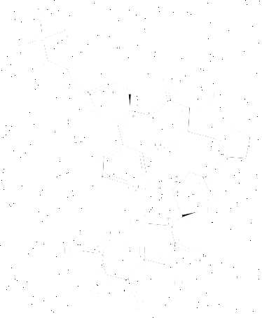 CC[C@H](C)[C@@H]([C@@H](CC(=O)N1CCC[C@H]1[C@H](OC)[C@@H](C)C(=O)N[C@H](C)[C@@H](OC(=O)CCC[Si](C)(C)O)c1ccccc1)OC)N(C)C(=O)[C@@H](NC(=O)[C@H](C(C)C)N(C)C)C(C)C